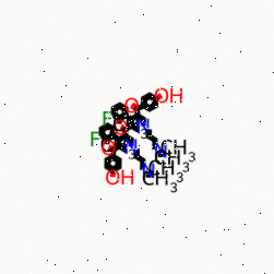 Cc1c(F)cccc1C1C(C(=O)c2ccc(O)cc2)CN(CCCCN(C)C)CC1C(=O)C1CN(CCCCN(C)C)CC(C(=O)c2ccc(O)cc2)C1c1cccc(F)c1C